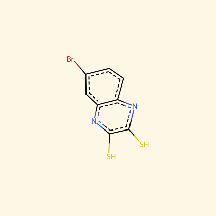 Sc1nc2ccc(Br)cc2nc1S